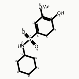 COC1=C(O)CCC(S(=O)(=O)NC2CCCCC2)=C1